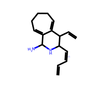 C=C/C=C\C1NC(N)C2=CCCCC=C2C1C=C